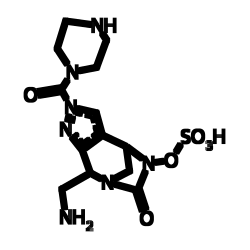 NCC1c2nn(C(=O)N3CCNCC3)cc2C2CN1C(=O)N2OS(=O)(=O)O